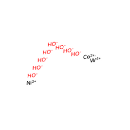 [Co+2].[Ni+2].[OH-].[OH-].[OH-].[OH-].[OH-].[OH-].[OH-].[OH-].[W+4]